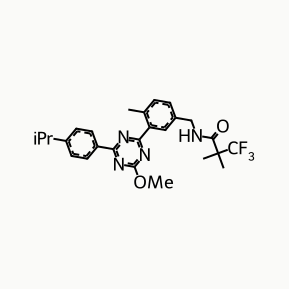 COc1nc(-c2ccc(C(C)C)cc2)nc(-c2cc(CNC(=O)C(C)(C)C(F)(F)F)ccc2C)n1